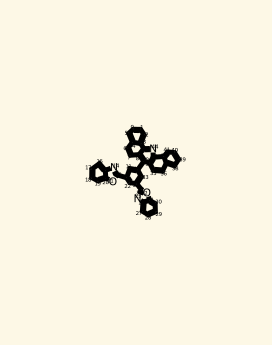 c1ccc2c(c1)ccc1c(-c3cc(-c4nc5ccccc5o4)cc(-c4nc5ccccc5o4)c3)c3ccc4ccccc4c3nc12